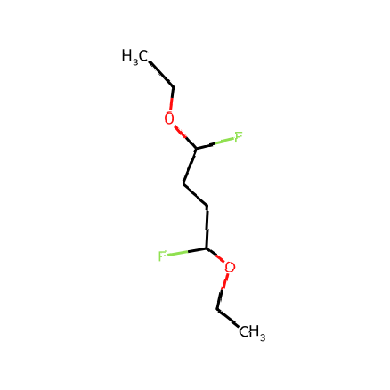 CCOC(F)CCC(F)OCC